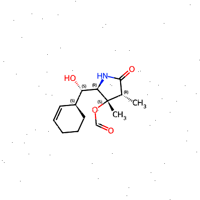 C[C@H]1C(=O)N[C@H]([C@@H](O)[C@@H]2C=CCCC2)[C@@]1(C)OC=O